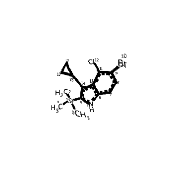 C[Si](C)(C)c1[nH]c2ccc(Br)c(Cl)c2c1C1CC1